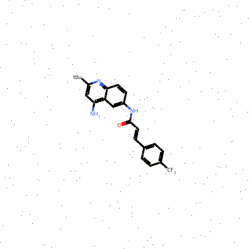 CC(C)(C)c1cc(N)c2cc(NC(=O)/C=C/c3ccc(C(F)(F)F)cc3)ccc2n1